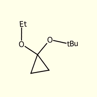 CCOC1(OC(C)(C)C)CC1